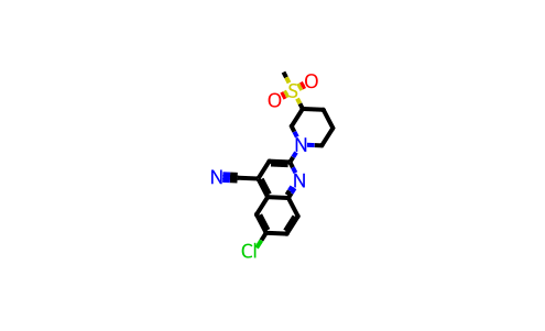 CS(=O)(=O)C1CCCN(c2cc(C#N)c3cc(Cl)ccc3n2)C1